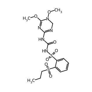 CCCS(=O)(=O)c1ccccc1S(=O)(=O)NC(=O)NC1=NCN(OC)C(OC)=N1